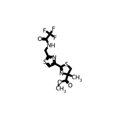 COC(=O)C1(C)CSC(c2csc(CNC(=O)C(F)(F)F)n2)=N1